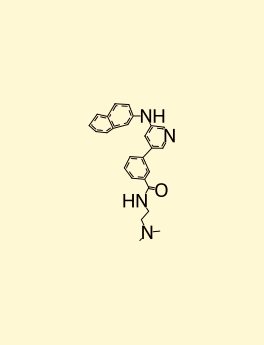 CN(C)CCNC(=O)c1cccc(-c2cncc(Nc3ccc4ccccc4c3)c2)c1